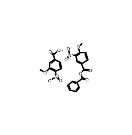 COc1cc(C(=O)O)ccc1[N+](=O)[O-].COc1ccc(C(=O)OC(=O)c2ccccc2)cc1[N+](=O)[O-]